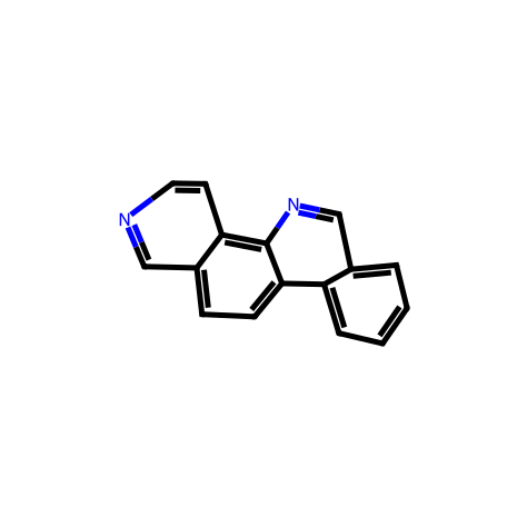 c1ccc2c(c1)cnc1c3ccncc3ccc21